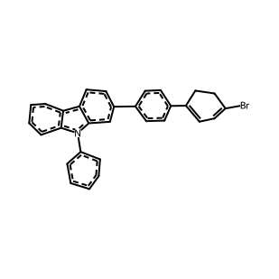 BrC1=CC=C(c2ccc(-c3ccc4c5ccccc5n(-c5ccccc5)c4c3)cc2)CC1